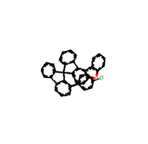 Clc1ccc(-c2cccc3c2C2(c4ccccc4-3)c3ccccc3-c3c2ccc2oc4ccccc4c32)cc1